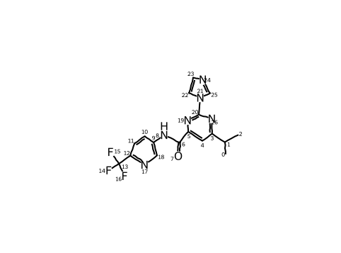 CC(C)c1cc(C(=O)Nc2ccc(C(F)(F)F)nc2)nc(-n2ccnc2)n1